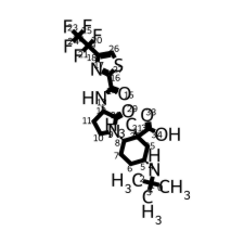 CC(C)(C)N[C@@H]1CC[C@H](N2CC[C@H](NC(=O)c3nc(C(F)(F)C(F)(F)F)cs3)C2=O)[C@](C)(C(=O)O)C1